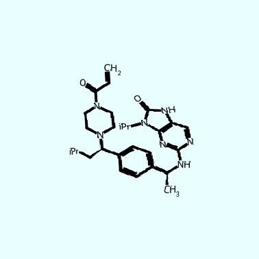 C=CC(=O)N1CCN([C@H](CC(C)C)c2ccc([C@H](C)Nc3ncc4[nH]c(=O)n(C(C)C)c4n3)cc2)CC1